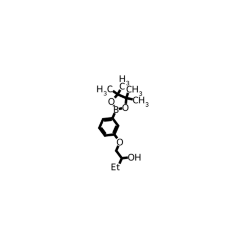 CCC(O)COc1cccc(B2OC(C)(C)C(C)(C)O2)c1